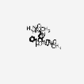 CC(=O)N1CCN(C(=O)c2cnc(C(C)NC(N)=O)cc2Nc2ccccc2)CC1